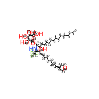 CCCCCCCCCCCCCCC[C@@H](O)[C@H](COC1OC(CO)C(O)C(O)C1O)NC(CCCCCCCCCCC1CCOCC1)C(F)(F)F